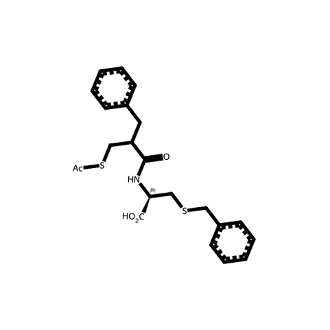 CC(=O)SCC(Cc1ccccc1)C(=O)N[C@@H](CSCc1ccccc1)C(=O)O